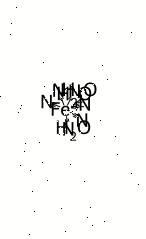 N#[C][Fe-4]([C]#N)([C]#N)([C]#N)([C]#N)[C]#N.O.O.O